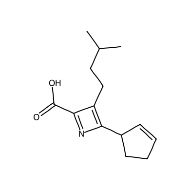 CC(C)CCC1=C(C2C=CCC2)N=C1C(=O)O